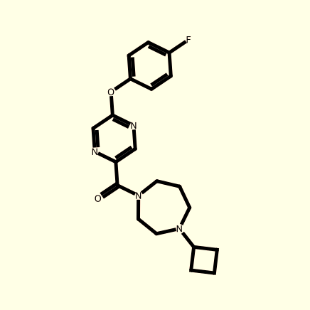 O=C(c1cnc(Oc2ccc(F)cc2)cn1)N1CCCN(C2CCC2)CC1